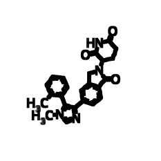 Cc1ccccc1-c1c(-c2ccc3c(c2)CN(C2CCC(=O)NC2=O)C3=O)ncn1C